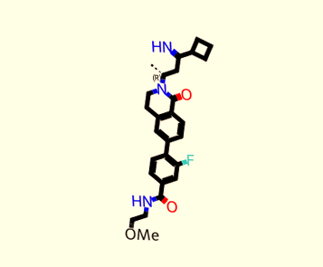 COCCNC(=O)c1ccc(-c2ccc3c(c2)CCN([C@H](C)CC(=N)C2CCC2)C3=O)c(F)c1